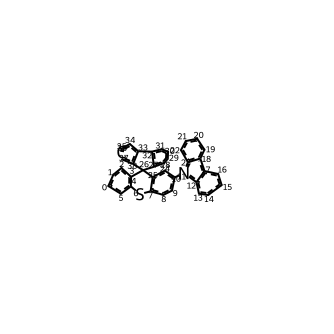 c1ccc2c(c1)Sc1ccc(-n3c4ccccc4c4ccccc43)cc1C21c2ccccc2-c2ccccc21